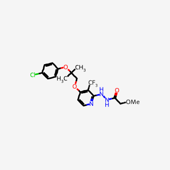 COCC(=O)NNc1nccc(OCC(C)(C)Oc2ccc(Cl)cc2)c1C(F)(F)F